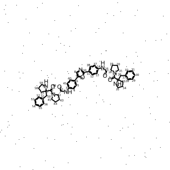 O=C(Nc1ccc(-c2cnc(-c3ccc(NC(=O)[C@@H]4CCCN4C(=O)C4(Cc5ccccc5)CCCN4)cc3)o2)cc1)[C@@H]1CCCN1C(=O)C1(Cc2ccccc2)CCCN1